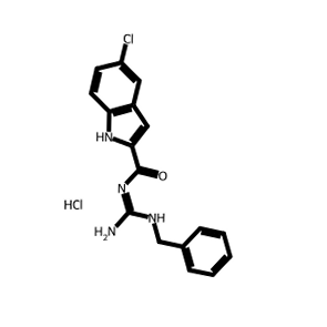 Cl.NC(=NC(=O)c1cc2cc(Cl)ccc2[nH]1)NCc1ccccc1